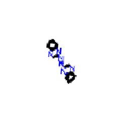 c1ccc2nc(N=Nc3cnc4ccccc4n3)cnc2c1